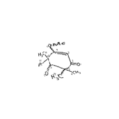 COC1=CC(=O)C(C)(C)C(=O)C1(C)C(C)C